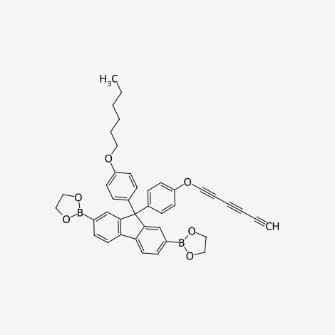 C#CC#CC#COc1ccc(C2(c3ccc(OCCCCCC)cc3)c3cc(B4OCCO4)ccc3-c3ccc(B4OCCO4)cc32)cc1